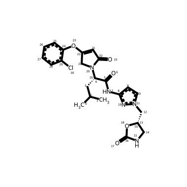 CC(C)C[C@@H](C(=O)Nc1ccn(C[C@@H]2CNC(=O)O2)n1)N1CC(Oc2ccccc2Cl)=CC1=O